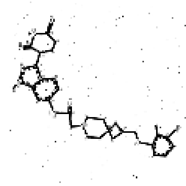 Cc1c(Br)cccc1OCC1CC2(CCN(CC(=O)Nc3ccc4c(C5CCC(=O)NC5=O)nn(C)c4c3)CC2)C1